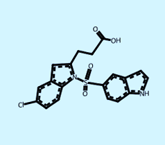 O=C(O)CCc1cc2cc(Cl)ccc2n1S(=O)(=O)c1ccc2[nH]ccc2c1